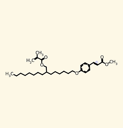 C=C(C)C(=O)OCC(CCCCCCCC)CCCCCCOc1ccc(/C=C/C(=O)OC)cc1